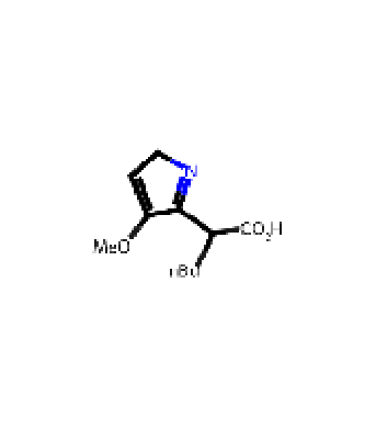 CCCCC(C(=O)O)C1=NCC=C1OC